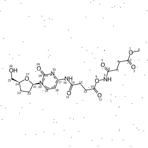 COC(=O)CCC(=O)NOC(=O)CCC(=O)Nc1ccn([C@H]2CC[C@@H](CO)O2)c(=O)n1